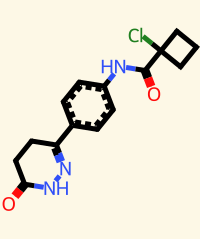 O=C1CCC(c2ccc(NC(=O)C3(Cl)CCC3)cc2)=NN1